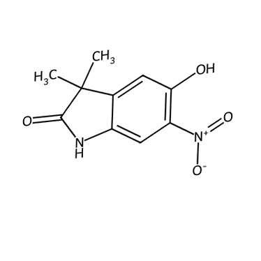 CC1(C)C(=O)Nc2cc([N+](=O)[O-])c(O)cc21